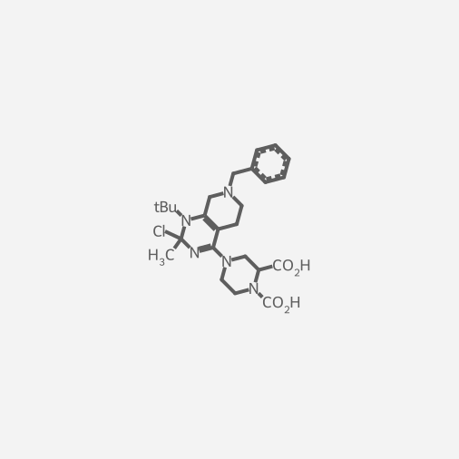 CC(C)(C)N1C2=C(CCN(Cc3ccccc3)C2)C(N2CCN(C(=O)O)C(C(=O)O)C2)=NC1(C)Cl